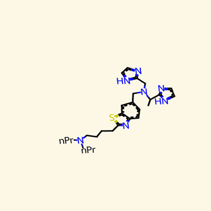 CCCN(CCC)CCCCc1nc2ccc(CN(Cc3ncc[nH]3)C(C)c3ncc[nH]3)cc2s1